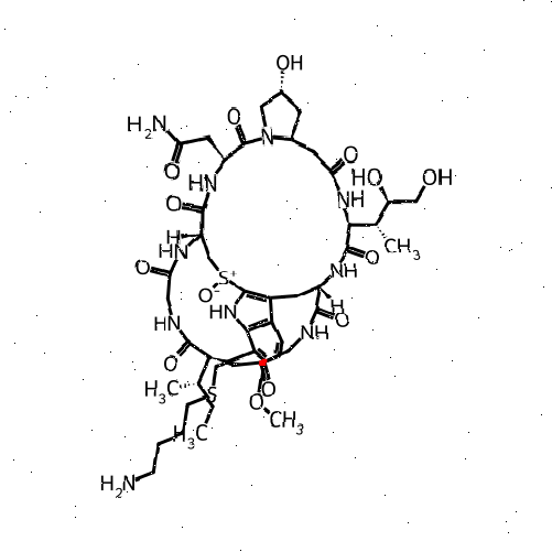 CC[C@H](C)[C@@H]1CC(=O)CNC(=O)[C@@H]2Cc3c([nH]c4c(CSCCCCN)c(OC)ccc34)[S+]([O-])C[C@H](NC(=O)CNC1=O)C(=O)N[C@@H](CC(N)=O)C(=O)N1C[C@H](O)CC1CC(=O)N[C@@H]([C@@H](C)[C@@H](O)CO)C(=O)N2